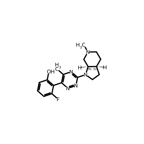 Cc1nc(N2CC[C@@H]3CCN(C)C[C@@H]32)nnc1-c1c(O)cccc1F